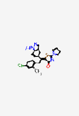 O=C1N=C(N2CCCC2)SC1=C(Cc1ccc(Cl)cc1C(F)(F)F)c1ccc2[nH]ncc2c1